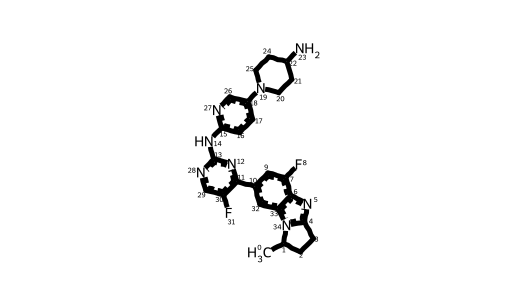 CC1CCc2nc3c(F)cc(-c4nc(Nc5ccc(N6CCC(N)CC6)cn5)ncc4F)cc3n21